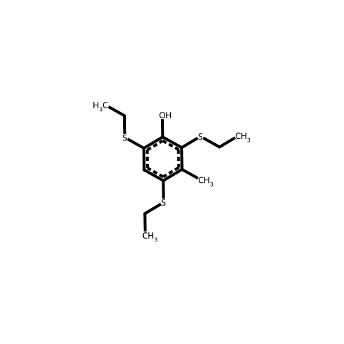 CCSc1cc(SCC)c(O)c(SCC)c1C